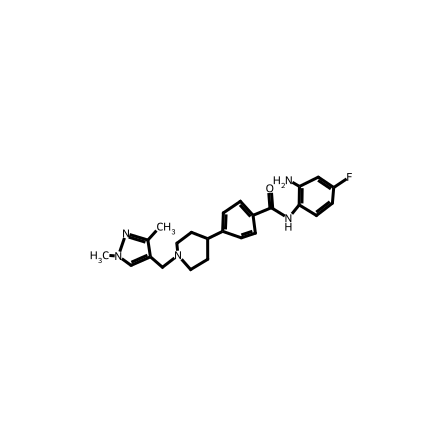 Cc1nn(C)cc1CN1CCC(c2ccc(C(=O)Nc3ccc(F)cc3N)cc2)CC1